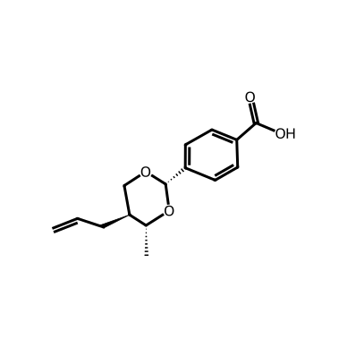 C=CC[C@H]1CO[C@H](c2ccc(C(=O)O)cc2)O[C@@H]1C